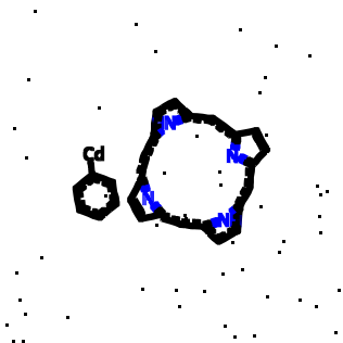 C1=Cc2cc3ccc(cc4nc(cc5ccc(cc1n2)[nH]5)C=C4)[nH]3.[Cd][c]1ccccc1